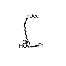 CCC#CC#CCC(O)OC(=O)CCCCCCCCC#CC#CCCCCCCCCCC